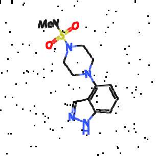 CNS(=O)(=O)N1CCN(c2cccc3[nH]ncc23)CC1